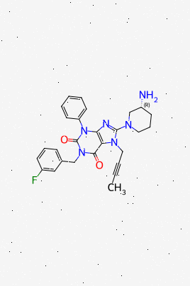 CC#CCn1c(N2CCC[C@@H](N)C2)nc2c1c(=O)n(Cc1cccc(F)c1)c(=O)n2-c1ccccc1